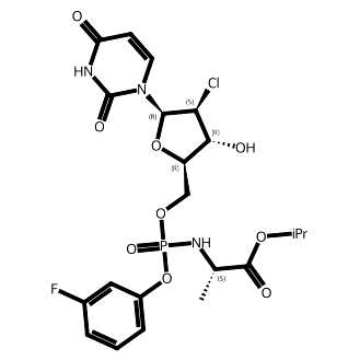 CC(C)OC(=O)[C@H](C)NP(=O)(OC[C@H]1O[C@@H](n2ccc(=O)[nH]c2=O)[C@@H](Cl)[C@@H]1O)Oc1cccc(F)c1